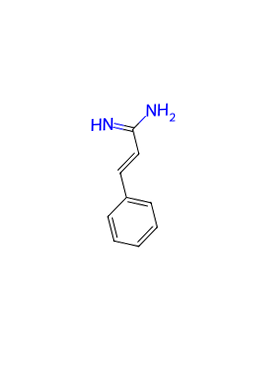 N=C(N)C=Cc1ccccc1